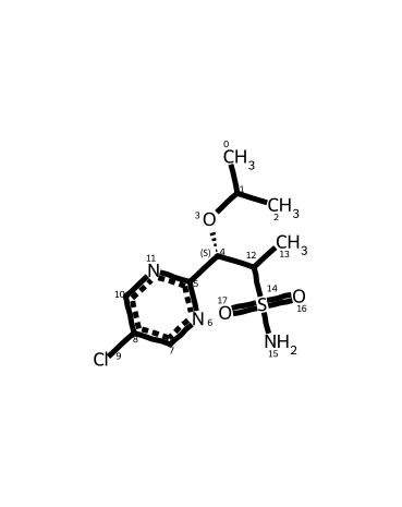 CC(C)O[C@@H](c1ncc(Cl)cn1)C(C)S(N)(=O)=O